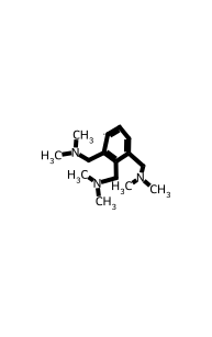 CN(C)Cc1[c]ccc(CN(C)C)c1CN(C)C